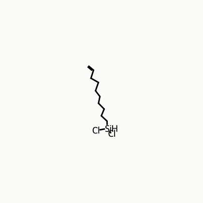 C=CCCCCCCCC[SiH](Cl)Cl